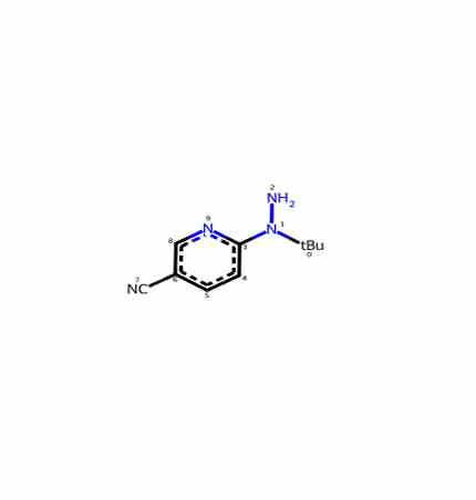 CC(C)(C)N(N)c1ccc(C#N)cn1